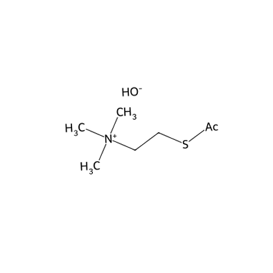 CC(=O)SCC[N+](C)(C)C.[OH-]